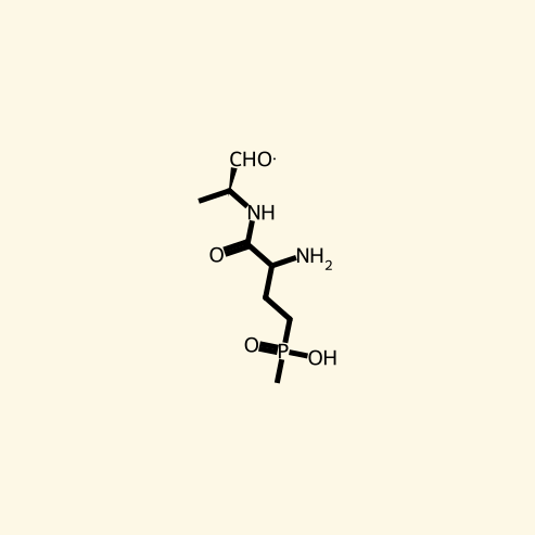 C[C@@H]([C]=O)NC(=O)C(N)CCP(C)(=O)O